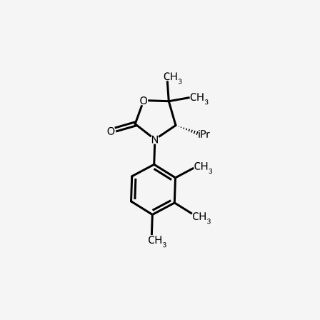 Cc1ccc(N2C(=O)OC(C)(C)[C@@H]2C(C)C)c(C)c1C